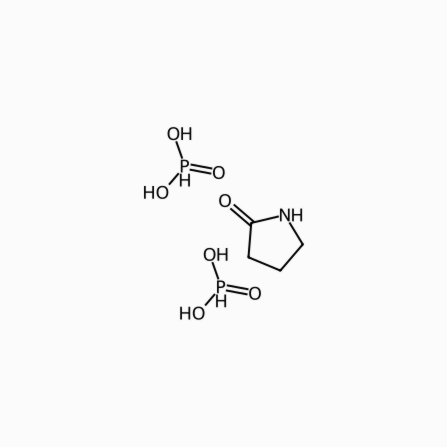 O=C1CCCN1.O=[PH](O)O.O=[PH](O)O